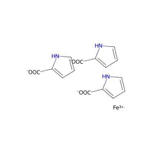 O=C([O-])c1ccc[nH]1.O=C([O-])c1ccc[nH]1.O=C([O-])c1ccc[nH]1.[Fe+3]